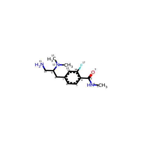 CNC(=O)c1ccc(CC(CN)N(C)C)cc1F